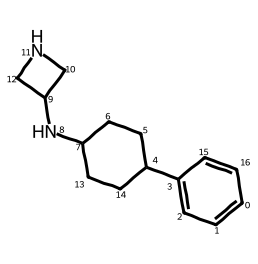 c1ccc(C2CCC(NC3CNC3)CC2)cc1